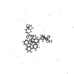 CN1CCC(C(=O)Nc2nn(C(c3ccccc3)(c3ccccc3)c3ccccc3)c3ccc(-c4cnn(C(=O)O)c4)cc23)CC1